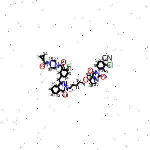 Cc1c(N2C(=O)[C@@H]3[C@H](OCCCCCn4nc(Cc5ccc(F)c(C(=O)N6CCN(C(=O)C7CC7)CC6)c5)c5ccccc5c4=O)CCN3C2=O)ccc(C#N)c1Cl